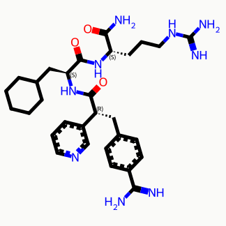 N=C(N)NCCC[C@H](NC(=O)[C@H](CC1CCCCC1)NC(=O)[C@H](Cc1ccc(C(=N)N)cc1)c1cccnc1)C(N)=O